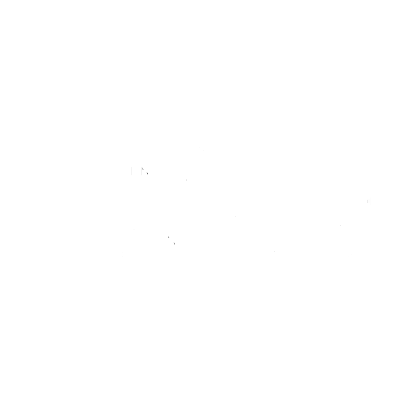 CCC1=C/C(=c2/c(=O)[nH]/c(=C\c3ccccc3)c(=O)n2C)CC=C1C(=O)O